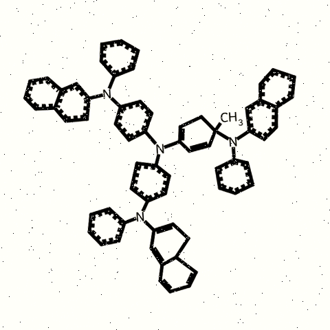 CC1(N(c2ccccc2)c2ccc3ccccc3c2)C=CC(N(c2ccc(N(C3=CCC4C=CC=CC4=C3)c3ccccc3)cc2)c2ccc(N(c3ccccc3)c3ccc4ccccc4c3)cc2)=CC1